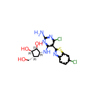 Nc1nc(Cl)c(-c2nc3ccc(Cl)cc3s2)c(N[C@@H]2C[C@H](CO)[C@@H](O)[C@H]2O)n1